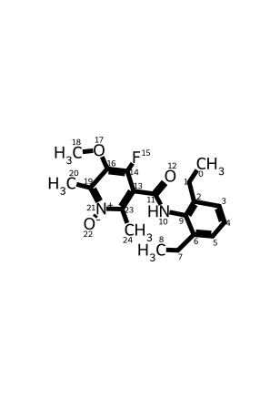 CCc1cccc(CC)c1NC(=O)c1c(F)c(OC)c(C)[n+]([O-])c1C